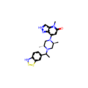 CC(c1ccc2c(c1)SSN2)N1C[C@H](C)N(c2cc(=O)n(C)c3c[nH]nc23)C[C@H]1C